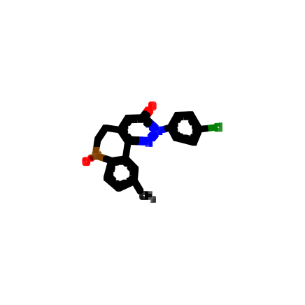 Cc1ccc2c(c1)-c1nn(-c3ccc(Cl)cc3)c(=O)cc1CC[S+]2[O-]